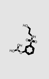 O=S(=O)(NCCO)c1cccc(OB(O)O)c1